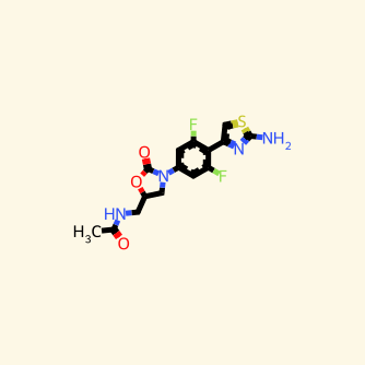 CC(=O)NCC1CN(c2cc(F)c(-c3csc(N)n3)c(F)c2)C(=O)O1